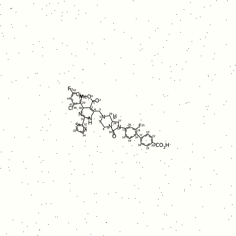 COC(=O)C1=C(CN2CCN3C(=O)N(c4ccc(-c5ccc(C(=O)O)cc5)c(F)c4)C[C@@H]3C2)NC(c2nccs2)=NC1c1ccc(F)cc1Cl